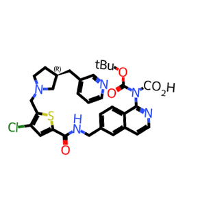 CC(C)(C)OC(=O)N(C(=O)O)c1nccc2cc(CNC(=O)c3cc(Cl)c(CN4CC[C@@H](Cc5cccnc5)C4)s3)ccc12